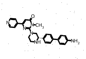 Cn1c(N2CCN[C@@H](c3ccc(-c4ccc(N)cc4)cc3)C2)nc(-c2ccncc2)cc1=O